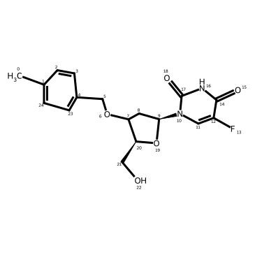 Cc1ccc(COC2C[C@@H](n3cc(F)c(=O)[nH]c3=O)O[C@H]2CO)cc1